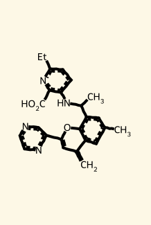 C=C1C=C(c2cnccn2)Oc2c1cc(C)cc2C(C)Nc1ccc(CC)nc1C(=O)O